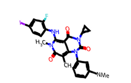 CNc1cccc(-n2c(=O)n(C3CC3)c(=O)c3c(Nc4ccc(I)cc4F)n(C)c(=O)c(C)c32)c1